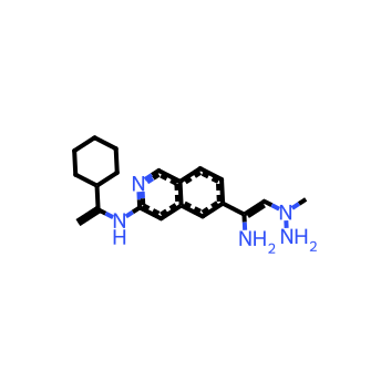 C=C(Nc1cc2cc(/C(N)=C/N(C)N)ccc2cn1)C1CCCCC1